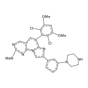 CNc1ncc2cc(-c3c(Cl)c(OC)cc(OC)c3Cl)c3nc(-c4cccc(N5CCNCC5)c4)cn3c2n1